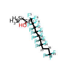 O[SiH]([SiH2][SiH3])C(F)(F)C(F)(F)C(F)(F)C(F)(F)C(F)(F)C(F)(F)C(F)(F)CCC(F)(F)F